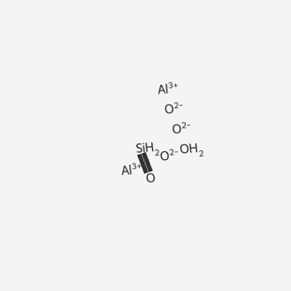 O.O=[SiH2].[Al+3].[Al+3].[O-2].[O-2].[O-2]